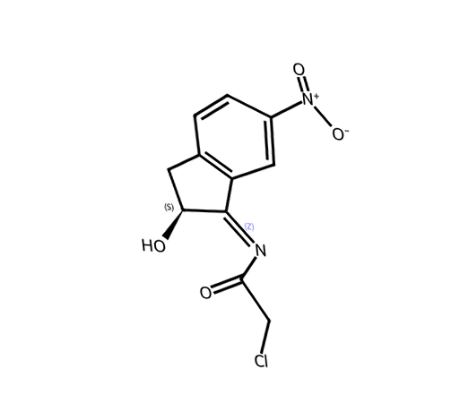 O=C(CCl)/N=C1/c2cc([N+](=O)[O-])ccc2C[C@@H]1O